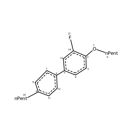 CCCCCOc1ccc(-c2ccc(CCCCC)cc2)cc1F